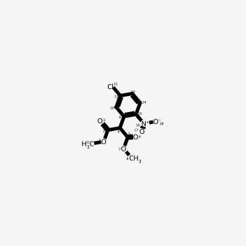 COC(=O)C(C(=O)OC)c1cc(Cl)ccc1[N+](=O)[O-]